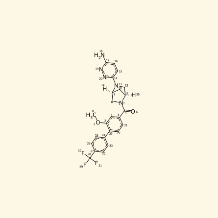 COc1cc(C(=O)N2C[C@@H]3C[C@H]2CN3c2ccc(N)nn2)ccc1-c1ccc(C(F)(F)F)cc1